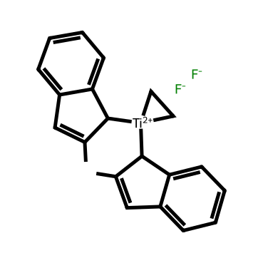 CC1=Cc2ccccc2[CH]1[Ti+2]1([CH]2C(C)=Cc3ccccc32)[CH2][CH2]1.[F-].[F-]